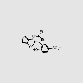 CCN(CC)CC.O=S(=O)(O)c1ccc(O)c(CC2COc3cscc3O2)c1